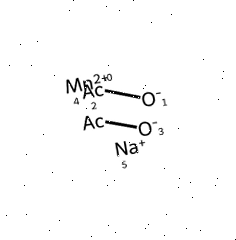 CC(=O)[O-].CC(=O)[O-].[Mn+2].[Na+]